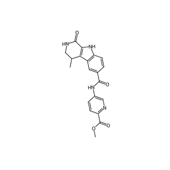 COC(=O)c1ccc(NC(=O)c2ccc3[nH]c4c(c3c2)C(C)CNC4=O)cn1